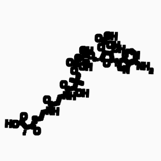 C[C@H](C(=O)O)C(=O)SCCNC(=O)CCNC(=O)[C@H](O)C(C)(C)COP(=O)(O)OP(=O)(O)OC[C@H]1O[C@H](n2cnc3c(N)ncnc32)[C@H](O)[C@@H]1OP(=O)(O)O